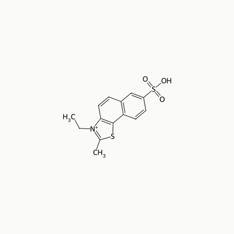 CC[n+]1c(C)sc2c3ccc(S(=O)(=O)O)cc3ccc21